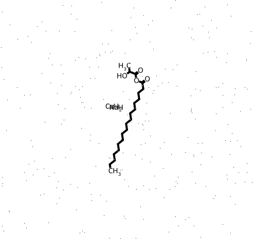 CCCCCCCCCCCCCCCCCC(=O)OC(=O)C(C)O.[CaH2].[NaH]